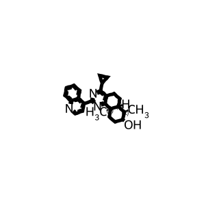 C[C@H]1C(O)CC[C@@]2(C)c3nc(-c4ccnc5ccccc45)nc(C4CC4)c3CC[C@H]12